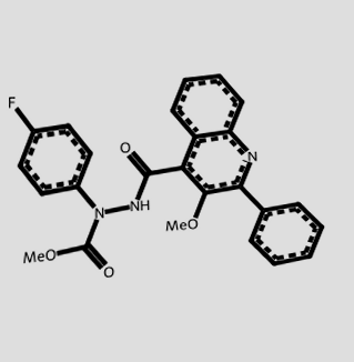 COC(=O)N(NC(=O)c1c(OC)c(-c2ccccc2)nc2ccccc12)c1ccc(F)cc1